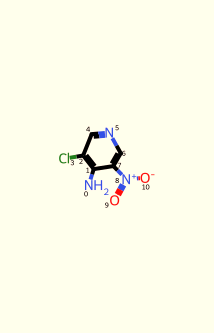 Nc1c(Cl)cncc1[N+](=O)[O-]